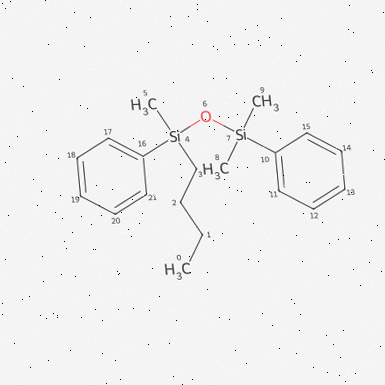 CCCC[Si](C)(O[Si](C)(C)c1ccccc1)c1ccccc1